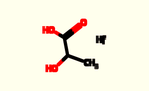 CC(O)C(=O)O.[Hf]